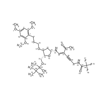 COc1cc(OC)c(CSCOC2C[C@H](N/C=C(/C#CCNC(=O)C(F)(F)F)C(C)=O)O[C@@H]2CO[Si](C)(C)C(C)(C)C)c(OC)c1